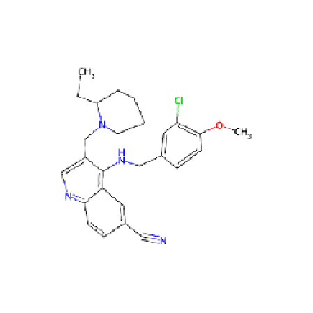 CCC1CCCCN1Cc1cnc2ccc(C#N)cc2c1NCc1ccc(OC)c(Cl)c1